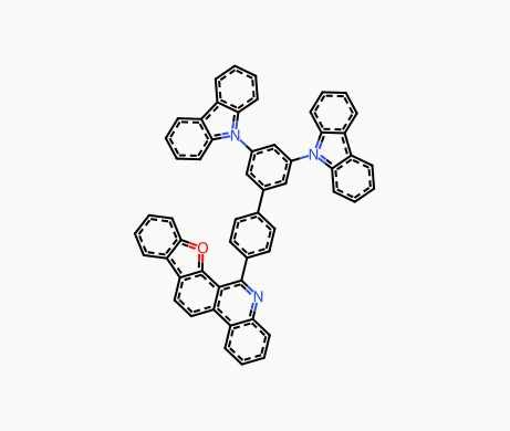 c1ccc2c(c1)nc(-c1ccc(-c3cc(-n4c5ccccc5c5ccccc54)cc(-n4c5ccccc5c5ccccc54)c3)cc1)c1c2ccc2c3ccccc3oc21